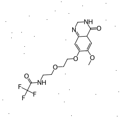 COC1=CC2C(=O)NCN=C2C=C1OCCOCCNC(=O)C(F)(F)F